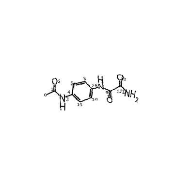 CC(=O)Nc1ccc(NC(=O)C(N)=O)cc1